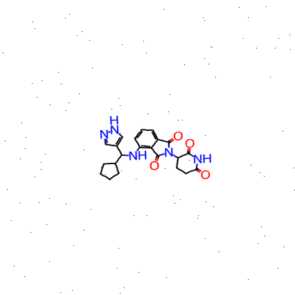 O=C1CCC(N2C(=O)c3cccc(NC(c4cn[nH]c4)C4CCCC4)c3C2=O)C(=O)N1